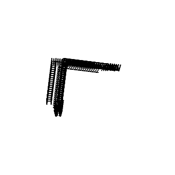 O.O.O.O.O.O.O.O.O.O.O.O.O.O.O.O.O.O.O.O.O.O.O.O.O.O.O.O.O.O.O.O.O.O.O.O.O.O.O.O.[Si].[W].[W].[W].[W].[W].[W].[W].[W].[W].[W].[W].[W]